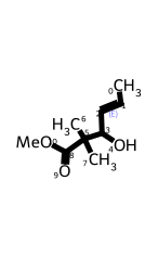 C/C=C/C(O)C(C)(C)C(=O)OC